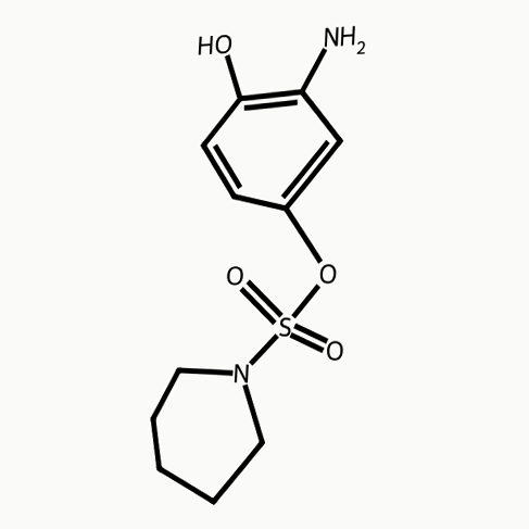 Nc1cc(OS(=O)(=O)N2CCCCC2)ccc1O